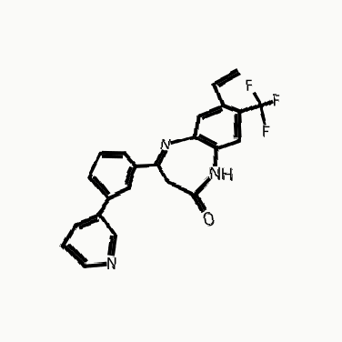 C=Cc1cc2c(cc1C(F)(F)F)NC(=O)CC(c1cccc(-c3cccnc3)c1)=N2